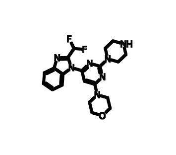 FC(F)c1nc2ccccc2n1-c1cc(N2CCOCC2)nc(N2CCNCC2)n1